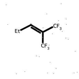 CC[C]=C(C(F)(F)F)C(F)(F)F